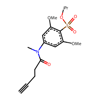 C#CCCC(=O)N(C)c1cc(OC)c(S(=O)(=O)OC(C)C)c(OC)c1